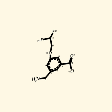 CCC(=O)c1cc(CN)cc(OCC(F)F)c1